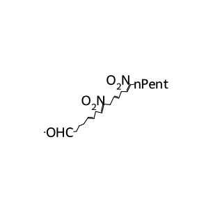 CCCCC/C(=C/C/C=C/C/C(=C/C/C=C/CCC[C]=O)[N+](=O)[O-])[N+](=O)[O-]